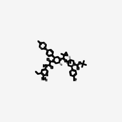 CCc1cc(NC(=O)C(=O)N2C[C@@H](C)N(C(=O)C3(C)CC3)C[C@@H]2c2ccc(N3CCN(C)CC3)cc2)cnc1N.C[C@@H]1CN(C(=O)OC(C)(C)C)[C@@H](c2ccc(Br)cc2)CN1